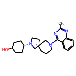 O[C@H]1CC[C@H](N2CC[C@]3(CCCN(c4nc(C(F)(F)F)nc5ccccc45)C3)C2)CC1